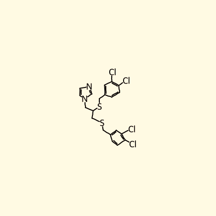 Clc1ccc(CSCC(Cn2ccnc2)SCc2ccc(Cl)c(Cl)c2)cc1Cl